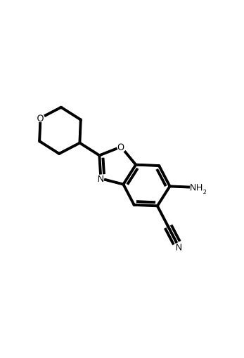 N#Cc1cc2nc(C3CCOCC3)oc2cc1N